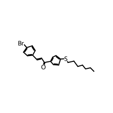 CCCCCCCSc1ccc(C(=O)C=Cc2ccc(Br)cc2)cc1